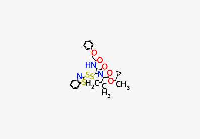 C=C(C)C(C(=O)OC(C)C1CC1)N1C(=O)C(NC(=O)COc2ccccc2)C1SSc1nc2ccccc2s1